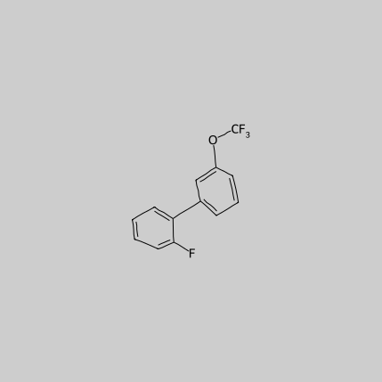 Fc1ccccc1-c1cccc(OC(F)(F)F)c1